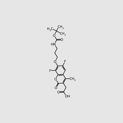 Cc1c(CC(=O)O)c(=O)oc2c(F)c(OCCCNC(=O)OC(C)(C)C)c(F)cc12